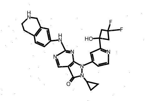 O=c1c2cnc(Nc3ccc4c(c3)CNCC4)nc2n(-c2ccnc(C3(O)CC(F)(F)C3)c2)n1C1CC1